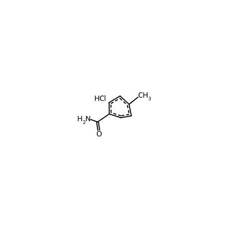 Cc1ccc(C(N)=O)cc1.Cl